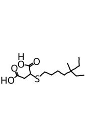 CCC(C)(CC)CCCCSC(CC(=O)O)C(=O)O